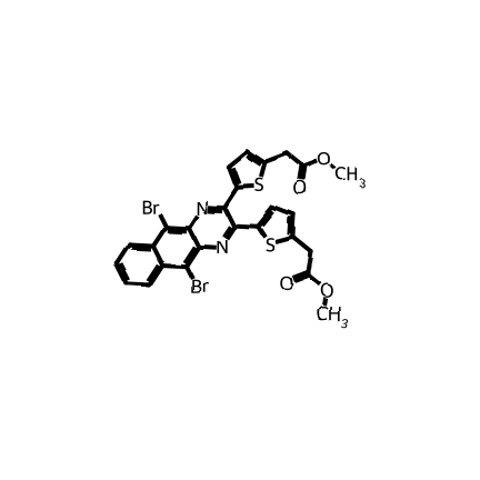 COC(=O)Cc1ccc(-c2nc3c(Br)c4ccccc4c(Br)c3nc2-c2ccc(CC(=O)OC)s2)s1